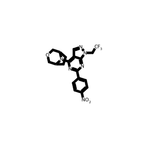 O=[N+]([O-])c1ccc(-c2nc(N3C4CCC3COC4)c3cnn(CC(F)(F)F)c3n2)cc1